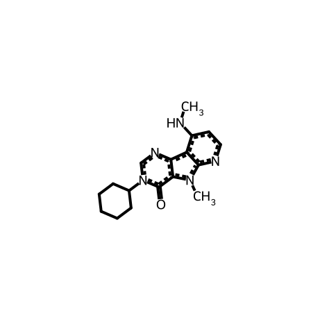 CNc1ccnc2c1c1ncn(C3CCCCC3)c(=O)c1n2C